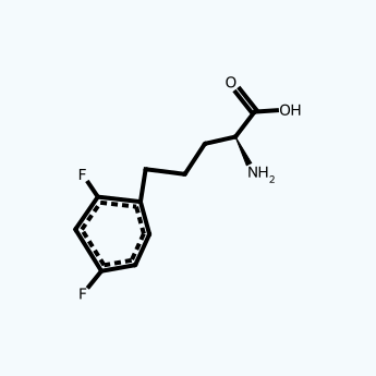 N[C@@H](CCCc1ccc(F)cc1F)C(=O)O